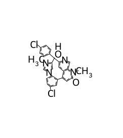 Cn1cncc1[C@@](O)(c1ccc(Cl)cc1)c1cc2c(-c3cccc(Cl)c3)cc(=O)n(C)c2cn1